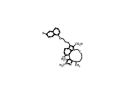 Cc1c2c(nn1C)N(C)CCCCCn1c(C(=O)O)c(CCCOc3cccc4cc(F)ccc34)c3ccc(Cl)c-2c31